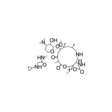 CC[C@H]1OC(=O)C(C)C(=O)[C@H](C)[C@@H](O[C@@H]2O[C@H](CNC(=O)CNC3CC3)CC(N(C)C)C2O)[C@](C)(OC)C[C@@H](C)CN[C@H](C)[C@H]2NC(=O)O[C@@]21CC